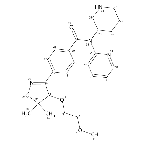 COCCOC1C(c2ccc(C(=O)N(c3ccccn3)C3CCCNC3)cc2)=NOC1(C)C